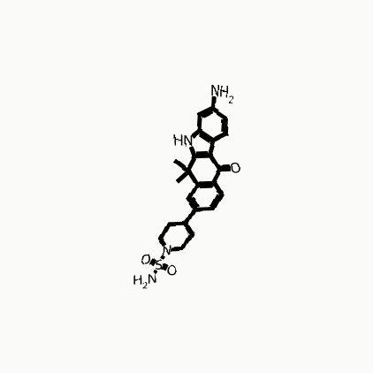 CC1(C)c2cc(C3CCN(S(N)(=O)=O)CC3)ccc2C(=O)c2c1[nH]c1cc(N)ccc21